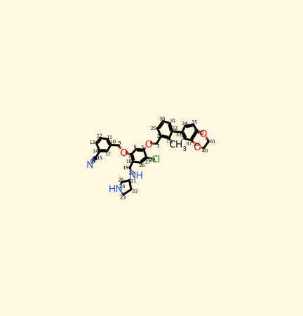 Cc1c(COc2cc(OCc3cccc(C#N)c3)c(CNC3CCNC3)cc2Cl)cccc1-c1ccc2c(c1)OCCO2